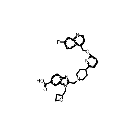 O=C(O)c1ccc2nc(CN3CCC(c4cccc(OCc5ccnc6cc(F)ccc56)n4)CC3)n(CC3CCO3)c2c1